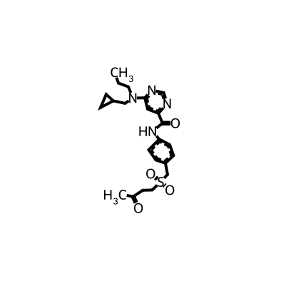 CCCN(CC1CC1)c1cc(C(=O)Nc2ccc(CS(=O)(=O)CCC(C)=O)cc2)ncn1